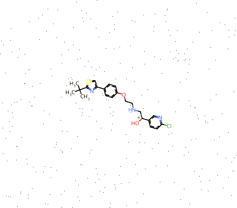 CC(C)(C)c1nc(-c2ccc(OCCNC[C@H](O)c3ccc(Cl)nc3)cc2)cs1